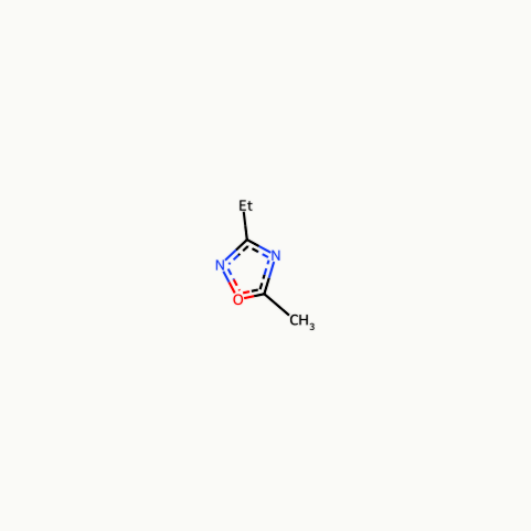 [CH2]Cc1noc(C)n1